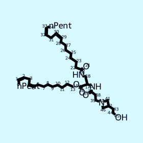 CCCCC/C=C\C/C=C\CCCCCCCCOC(=O)C(CNC(=O)CCCCCCC/C=C\C/C=C\CCCCC)NC(=O)CCN1CC(CCO)C1